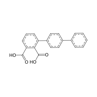 O=C(O)c1cccc(-c2ccc(-c3ccccc3)cc2)c1C(=O)O